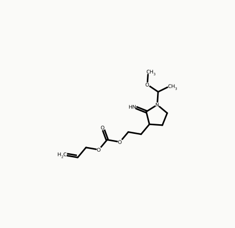 C=CCOC(=O)OCCC1CCN(C(C)OC)C1=N